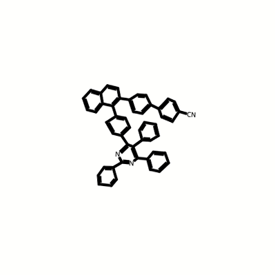 N#Cc1ccc(-c2ccc(-c3ccc4ccccc4c3-c3ccc(-c4nc(-c5ccccc5)nc(-c5ccccc5)c4-c4ccccc4)cc3)cc2)cc1